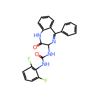 O=C(Nc1c(F)cccc1F)NC1N=C(c2ccccc2)c2ccccc2NC1=O